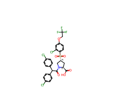 O=C(O)[C@@H]1C[C@@H](S(=O)(=O)c2ccc(OCC(F)(F)F)cc2Cl)CN1C(=O)C(c1ccc(Cl)cc1)c1ccc(Cl)cc1